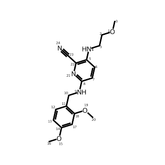 COCCNc1ccc(NCc2ccc(OC)cc2OC)nc1C#N